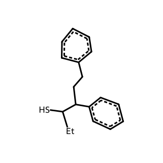 CCC(S)C(CCc1ccccc1)c1ccccc1